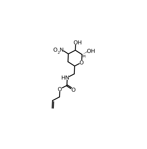 C=CCOC(=O)NCC1CC([N+](=O)[O-])C(O)[C@H](O)O1